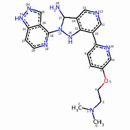 CN(C)CCOc1ccc(-c2cncc3c2NN(c2nccc4[nH]ncc24)C3N)nc1